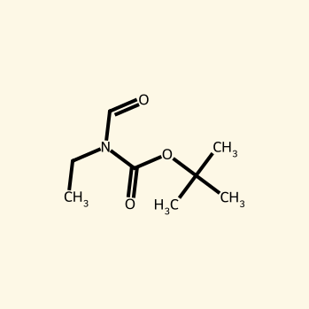 CCN(C=O)C(=O)OC(C)(C)C